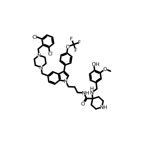 COc1cc(CNC2(C(=O)NCCCn3cc(-c4ccc(OC(F)(F)F)cc4)c4cc(CN5CCN(Cc6c(Cl)cccc6Cl)CC5)ccc43)CCNCC2)ccc1O